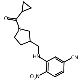 N#Cc1ccc([N+](=O)[O-])c(NCC2CCN(C(=O)C3CC3)C2)c1